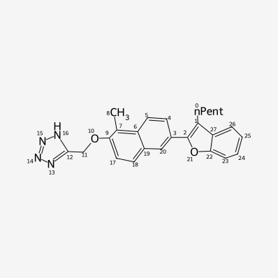 CCCCCc1c(-c2ccc3c(C)c(OCc4nnn[nH]4)ccc3c2)oc2ccccc12